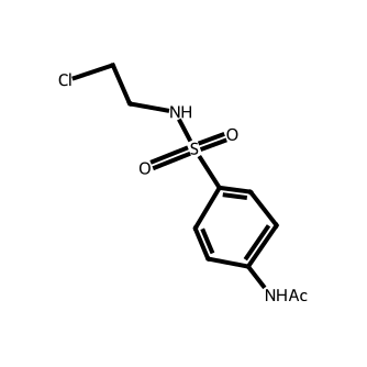 CC(=O)Nc1ccc(S(=O)(=O)NCCCl)cc1